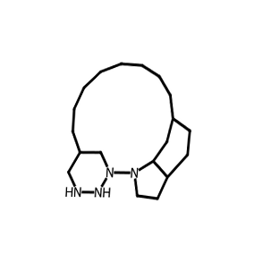 C1CCCCC2CNNN(C2)N2CCC3CCC(CCC1)CC32